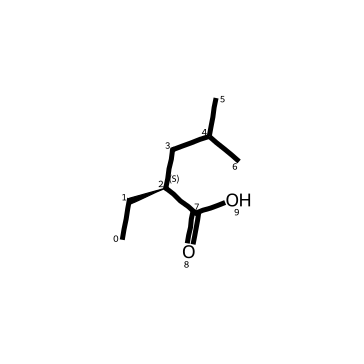 CC[C@@H](CC(C)C)C(=O)O